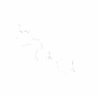 CN1CCC(NC(=O)c2sc3cc(Br)ccc3c2Cl)CC1